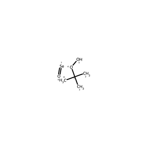 CC(C)(C)OO.O=[Se]